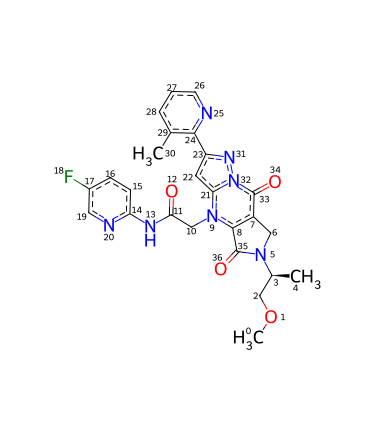 COC[C@H](C)N1Cc2c(n(CC(=O)Nc3ccc(F)cn3)c3cc(-c4ncccc4C)nn3c2=O)C1=O